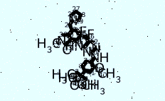 CCC(CC)(c1ccc(Nc2ncc(C(F)(F)F)c(Nc3ccc(CN4CCCC4)c4c3C(=O)N(C)C4)n2)c(OC)c1)P(=O)(O)O